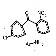 CC(N)=O.O=C(c1ccc(Cl)cc1)c1ccccc1[N+](=O)[O-]